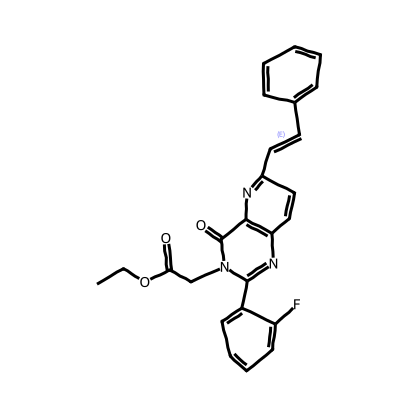 CCOC(=O)Cn1c(-c2ccccc2F)nc2ccc(/C=C/c3ccccc3)nc2c1=O